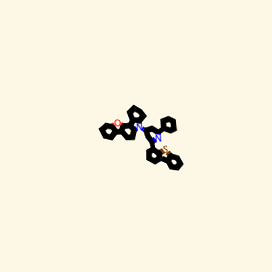 c1ccc(-c2cc(-n3c4ccccc4c4c5oc6ccccc6c5ccc43)cc(-c3cccc4c3sc3ccccc34)n2)cc1